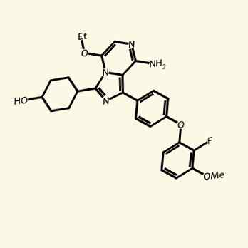 CCOc1cnc(N)c2c(-c3ccc(Oc4cccc(OC)c4F)cc3)nc(C3CCC(O)CC3)n12